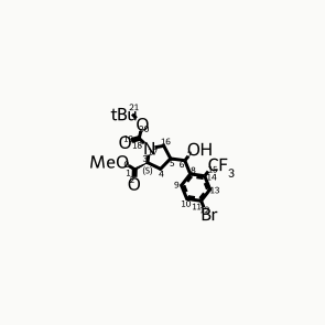 COC(=O)[C@@H]1CC(C(O)c2ccc(Br)cc2C(F)(F)F)CN1C(=O)OC(C)(C)C